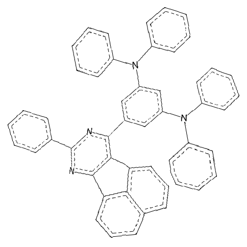 c1ccc(-c2nc(-c3cc(N(c4ccccc4)c4ccccc4)cc(N(c4ccccc4)c4ccccc4)c3)c3c(n2)-c2cccc4cccc-3c24)cc1